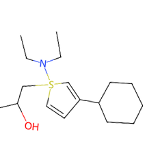 CCN(CC)S1(CC(C)O)C=CC(C2CCCCC2)=C1